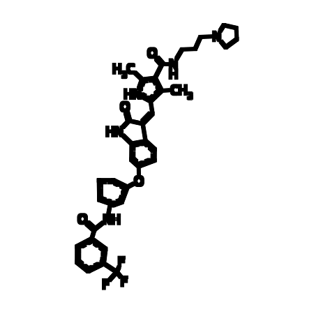 Cc1[nH]c(/C=C2\C(=O)Nc3cc(Oc4cccc(NC(=O)c5cccc(C(F)(F)F)c5)c4)ccc32)c(C)c1C(=O)NCCCN1CCCC1